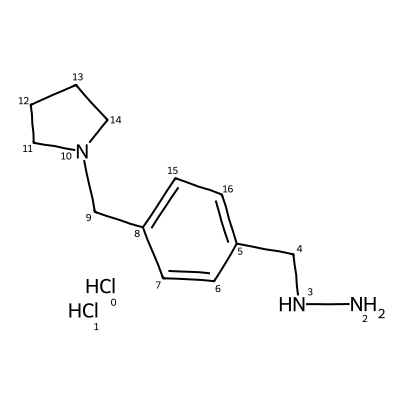 Cl.Cl.NNCc1ccc(CN2CCCC2)cc1